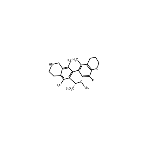 CCOC(=O)[C@@H](OC(C)(C)C)c1c(C)c2c(c(C)c1-c1cc(F)c3c(c1C)CCCO3)CNCC2